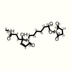 CNC(=O)CCC1(O)C=CC(=O)N1CCCCCC(=O)ON1C(=O)CCC1=O